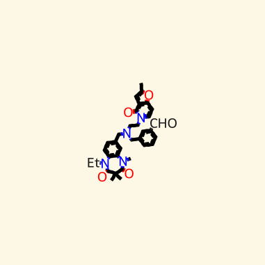 CCN1C(=O)C(C)(C)C(=O)N(C)c2cc(CN(CCn3ccc4oc(C)cc4c3=O)Cc3cccc(C=O)c3)ccc21